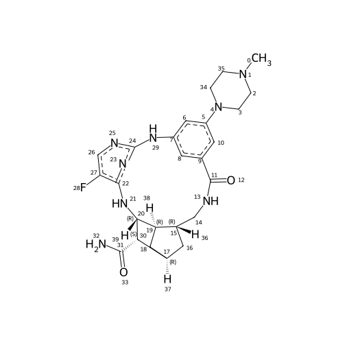 CN1CCN(c2cc3cc(c2)C(=O)NC[C@@H]2C[C@@H]4C[C@H]2[C@@H](Nc2nc(ncc2F)N3)[C@H]4C(N)=O)CC1